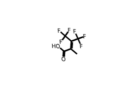 CC(C(=O)O)=C(C(F)(F)F)C(F)(F)F